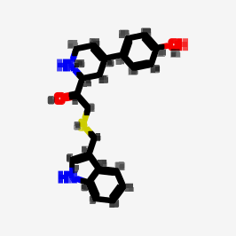 O=C(CSCc1c[nH]c2ccccc12)C1CC(c2ccc(O)cc2)=CCN1